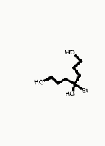 [CH2]CC(O)(CCCO)CCCO